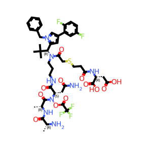 C[C@@H](N)C(=O)N[C@H](C)C(=O)N(OC(=O)C(F)(F)F)[C@@H](CC(N)=O)C(=O)NCCCN(C(=O)CSCCC(=O)N[C@H](CC(=O)O)C(=O)O)[C@@H](c1cc(-c2cc(F)ccc2F)cn1Cc1ccccc1)C(C)(C)C